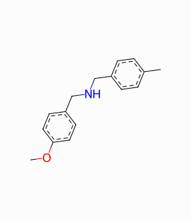 COc1ccc(CNCc2ccc(C)cc2)cc1